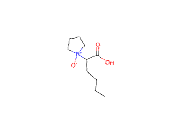 CCCCC(C(=O)O)[N+]1([O-])CCCC1